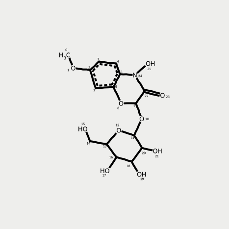 COc1ccc2c(c1)OC(OC1OC(CO)C(O)C(O)C1O)C(=O)N2O